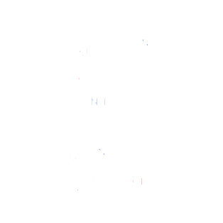 CC(C)(C)OC(=O)N(CCO)Cc1ccccc1NC(=O)c1ccc(N2CCCC2)cc1Cl